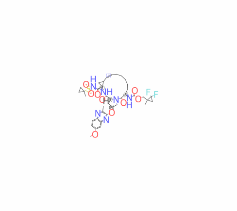 COc1ccc2nc(C)c(O[C@@H]3C[C@H]4C(=O)N[C@]5(C(=O)NS(=O)(=O)C6(C)CC6)CC5/C=C\CCCCC[C@H](NC(=O)OCC5(C)CC5(F)F)C(=O)N4C3)nc2c1